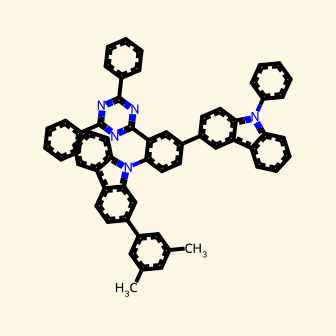 Cc1cc(C)cc(-c2ccc3c4ccccc4n(-c4ccc(-c5ccc6c(c5)c5ccccc5n6-c5ccccc5)cc4-c4nc(-c5ccccc5)nc(-c5ccccc5)n4)c3c2)c1